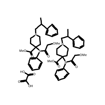 COCC(=O)N(c1ccccc1)C1(C(=O)OC)CCN(CC(C)c2ccccc2)CC1.COCC(=O)N(c1ccccc1)C1(C(=O)OC)CCN(CC(C)c2ccccc2)CC1.O=C(O)C(=O)O